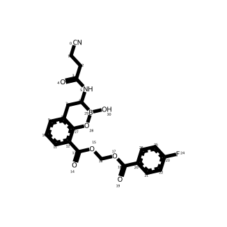 N#CCCC(=O)NC1Cc2cccc(C(=O)OCOC(=O)c3ccc(F)cc3)c2OB1O